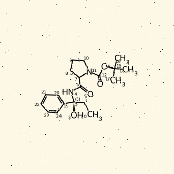 CC[C@@](O)(NC(=O)C1SCCN1C(=O)OC(C)(C)C)c1ccccc1